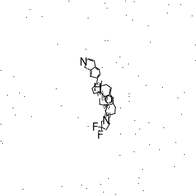 CC12CC=C3C=C4CC[C@@H](N5CCC(F)(F)C5)C[C@]45CC[C@]3(O5)[C@@H]1CCC2c1ccc2ccncc2c1